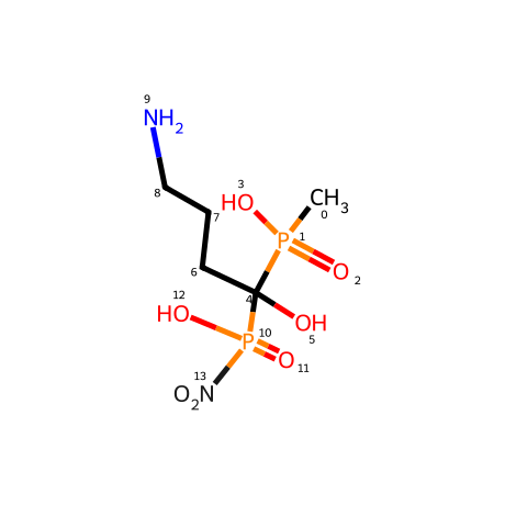 CP(=O)(O)C(O)(CCCN)P(=O)(O)[N+](=O)[O-]